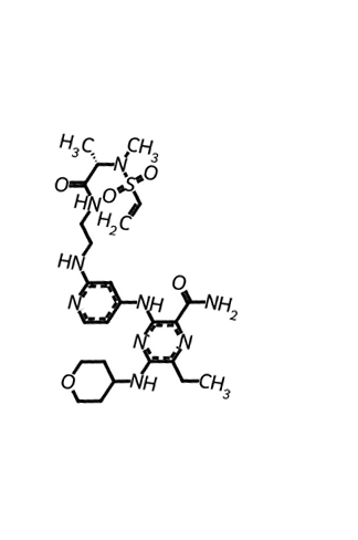 C=CS(=O)(=O)N(C)[C@@H](C)C(=O)NCCNc1cc(Nc2nc(NC3CCOCC3)c(CC)nc2C(N)=O)ccn1